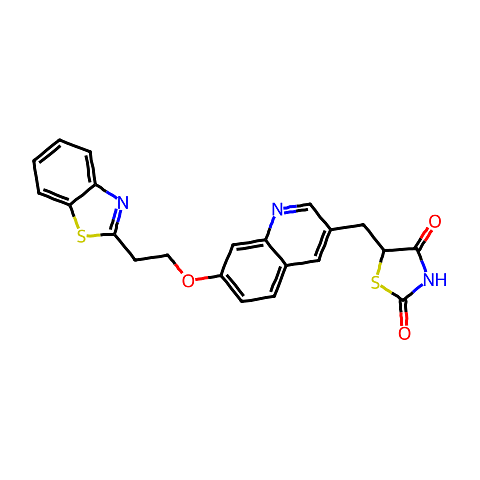 O=C1NC(=O)C(Cc2cnc3cc(OCCc4nc5ccccc5s4)ccc3c2)S1